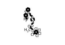 CC(COc1c(Cl)c(Cl)c(Cl)c(Cl)c1Cl)C(=O)OCCN1CCN(CCCN2c3ccccc3Sc3ccc(C(F)(F)F)cc32)CC1